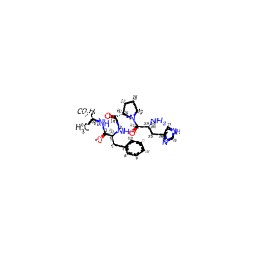 C[C@H](NC(=O)[C@H](Cc1ccccc1)NC(=O)[C@@H]1CCCN1C(=O)[C@H](N)Cc1c[nH]cn1)C(=O)O